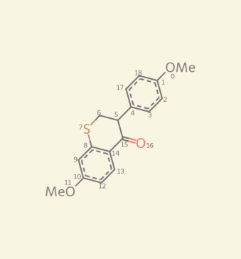 COc1ccc(C2CSc3cc(OC)ccc3C2=O)cc1